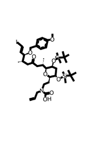 C=CCN(CC[C@H]1O[C@@H]([C@@H](C)CC(=O)C[C@H](C)[C@@H](/C=C/I)OCc2ccc(OC)cc2)[C@@H](O[Si](C)(C)C(C)(C)C)C[C@H]1O[Si](C)(C)C(C)(C)C)C(=O)O